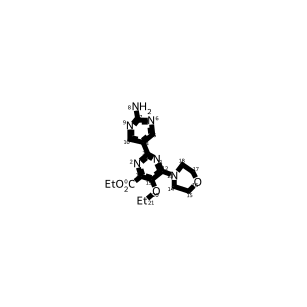 CCOC(=O)c1nc(-c2cnc(N)nc2)nc(N2CCOCC2)c1OCC